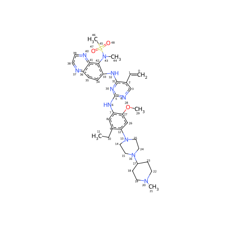 C=Cc1cnc(Nc2cc(CC)c(N3CCN(C4CCN(C)CC4)CC3)cc2OC)nc1Nc1ccc2nccnc2c1N(C)S(C)(=O)=O